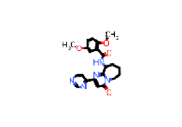 COc1ccc(OC)c(C(=O)NC2CCCCn3c2nc(-c2ccncn2)cc3=O)c1